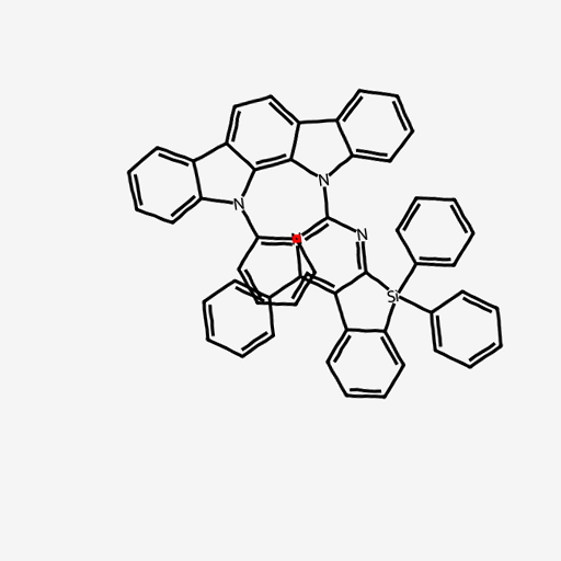 c1ccc(-c2nc(-n3c4ccccc4c4ccc5c6ccccc6n(-c6ccccc6)c5c43)nc3c2-c2ccccc2[Si]3(c2ccccc2)c2ccccc2)cc1